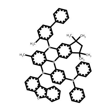 Cc1cc2c3c(c1)N(c1cccc4oc5ccccc5c14)c1ccc(N(c4ccccc4)c4ccccc4)cc1B3c1cc3c(cc1N2c1cc(-c2ccccc2)ccc1C)C(C)(C)CC3(C)C